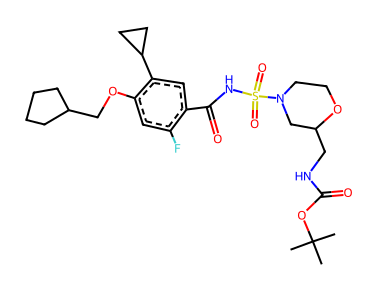 CC(C)(C)OC(=O)NCC1CN(S(=O)(=O)NC(=O)c2cc(C3CC3)c(OCC3CCCC3)cc2F)CCO1